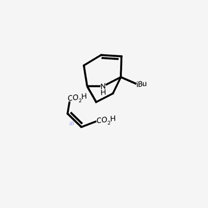 CCC(C)C12C=CCC(CC1)N2.O=C(O)/C=C\C(=O)O